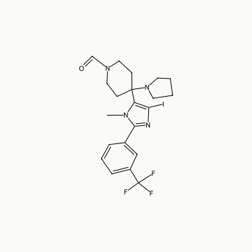 Cn1c(-c2cccc(C(F)(F)F)c2)nc(I)c1C1(N2CCCC2)CCN(C=O)CC1